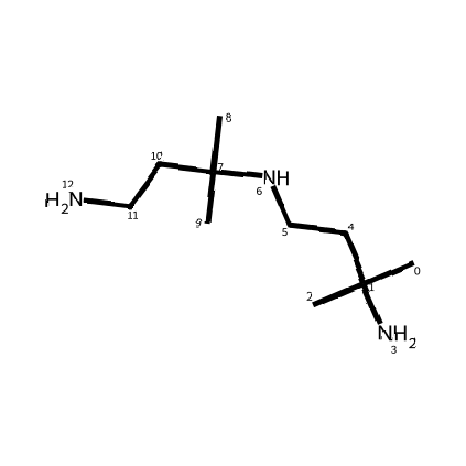 CC(C)(N)CCNC(C)(C)CCN